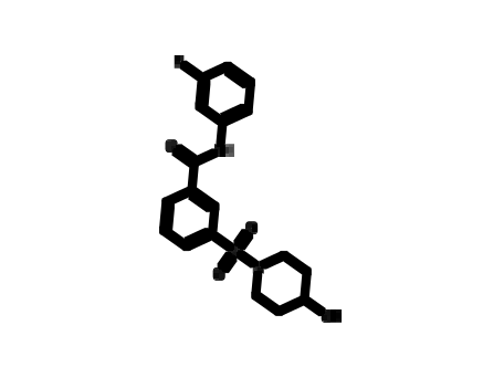 O=C(Nc1cccc(F)c1)c1cccc(S(=O)(=O)N2CCC(O)CC2)c1